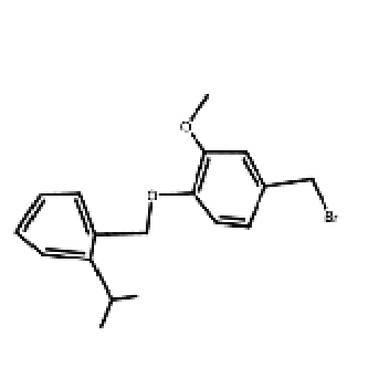 COc1cc(CBr)ccc1OCc1ccccc1C(C)C